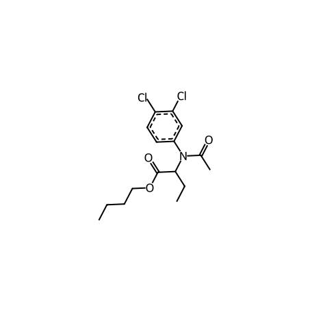 CCCCOC(=O)C(CC)N(C(C)=O)c1ccc(Cl)c(Cl)c1